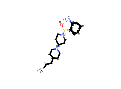 CCCC1CCN(C2CCN([S@+]([O-])c3ccccc3N)CC2)CC1